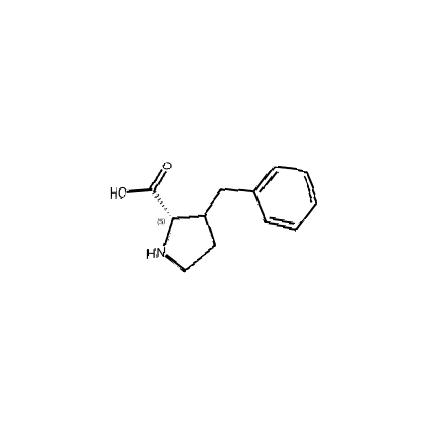 O=C(O)[C@H]1NCCC1Cc1ccccc1